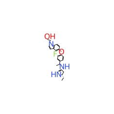 CC[C@H]1CC(NC(C)c2ccc(Oc3ccc4c(ccn4CCO)c3)c(F)c2)=CN1